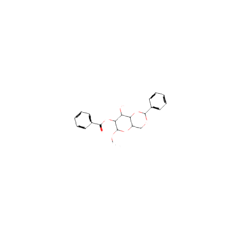 COC1OC2COC(c3ccccc3)OC2C(O)C1OC(=O)c1ccccc1